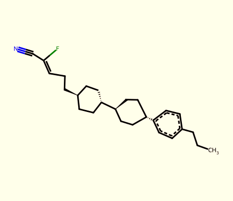 CCCc1ccc([C@H]2CC[C@H]([C@H]3CC[C@H](CCC=C(F)C#N)CC3)CC2)cc1